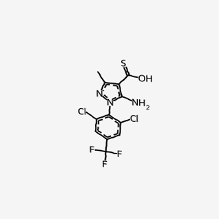 Cc1nn(-c2c(Cl)cc(C(F)(F)F)cc2Cl)c(N)c1C(O)=S